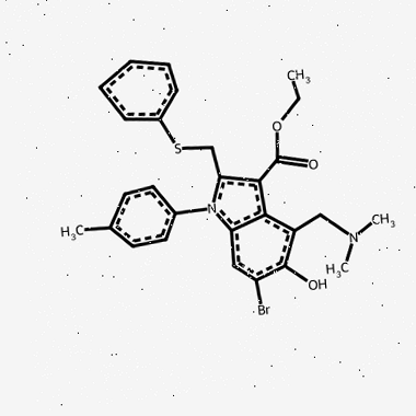 CCOC(=O)c1c(CSc2ccccc2)n(-c2ccc(C)cc2)c2cc(Br)c(O)c(CN(C)C)c12